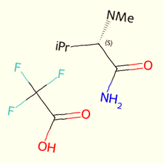 CN[C@H](C(N)=O)C(C)C.O=C(O)C(F)(F)F